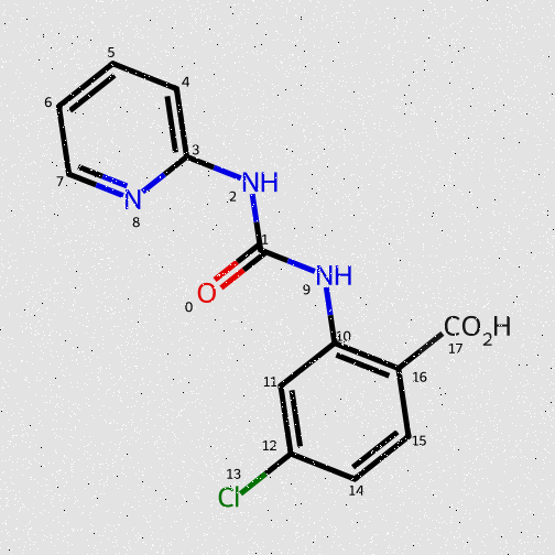 O=C(Nc1ccccn1)Nc1cc(Cl)ccc1C(=O)O